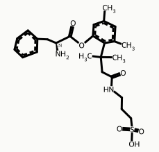 Cc1cc(C)c(C(C)(C)CC(=O)NCCCS(=O)(=O)O)c(OC(=O)[C@@H](N)Cc2ccccc2)c1